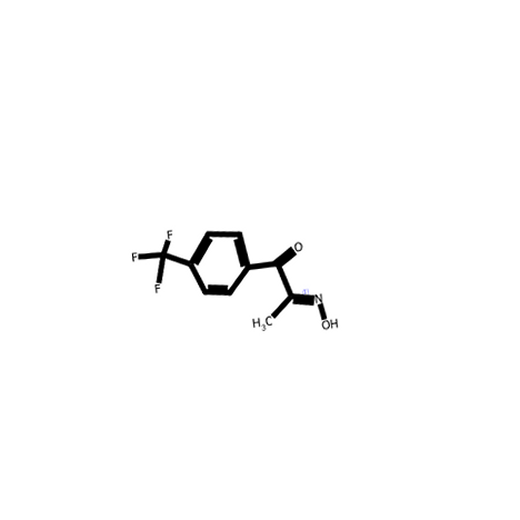 C/C(=N\O)C(=O)c1ccc(C(F)(F)F)cc1